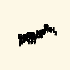 Cc1c([C@H](NC(=O)Nc2cnc(N3CC(C(N)=O)C3)nc2)C(F)(F)F)oc2c(F)cc(F)cc12